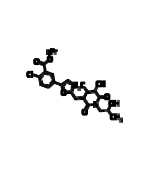 CCCOC(=O)c1cc(-c2ccc(/C=C3/C(=O)N(CC(C)O)C(=O)C(C#N)=C3C)o2)ccc1Cl